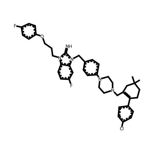 CC1(C)CCC(c2ccc(Cl)cc2)=C(CN2CCN(c3ccc(Cn4c(=N)n(CCCOc5ccc(F)cc5)c5ccc(F)cc54)cc3)CC2)C1